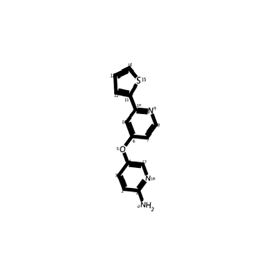 Nc1ccc(Oc2ccnc(-c3cccs3)c2)cn1